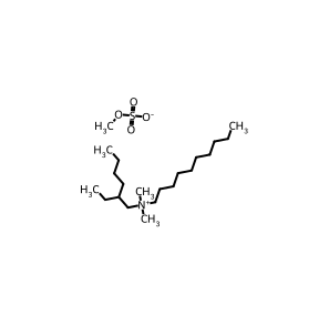 CCCCCCCCCC[N+](C)(C)CC(CC)CCCC.COS(=O)(=O)[O-]